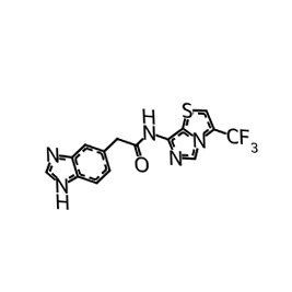 O=C(Cc1ccc2[nH]cnc2c1)Nc1ncn2c(C(F)(F)F)csc12